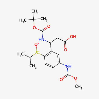 COC(=O)Nc1ccc([S+]([O-])C(C)C)c(C(CC(=O)O)NC(=O)OC(C)(C)C)c1